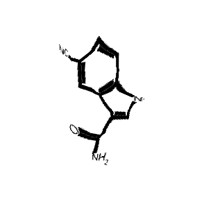 N#Cc1ccc2c(c1)C(C(N)=O)=C[N]2